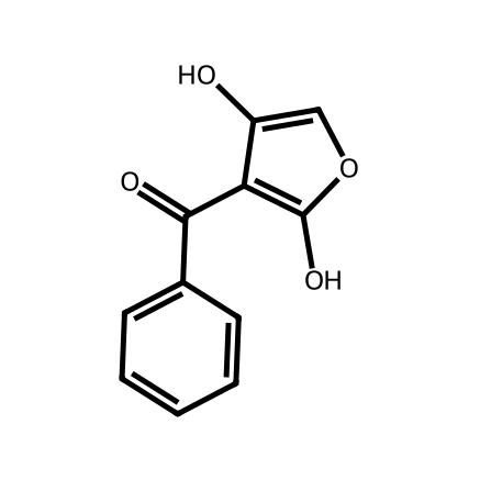 O=C(c1ccccc1)c1c(O)coc1O